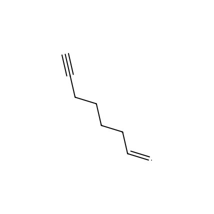 [CH]=CCCCCC#C